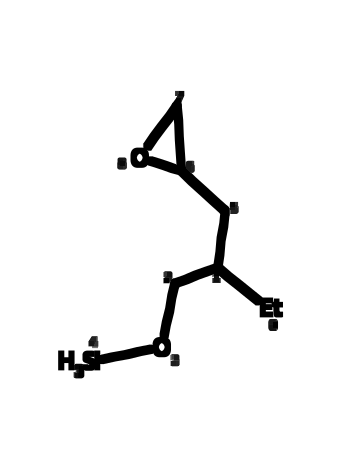 CCC(CO[SiH3])CC1CO1